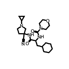 N#CC1(NC(=O)C(CC2CCCCC2)NC(=O)N2CCOCC2)CCN(C2CC2)C1